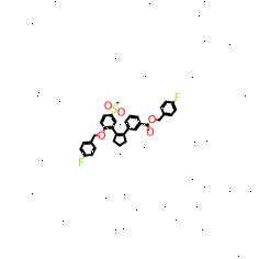 CS(=O)(=O)c1ccc(OCc2ccc(F)cc2)c(C2=C(c3cccc(C(=O)OCc4ccc(F)cc4)c3)CCC2)c1